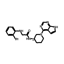 CC(C)c1ccccc1NCC(=O)N[C@@H]1CCCN(c2ncnc3[nH]ccc23)C1